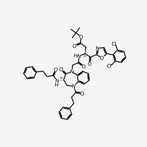 CC(C)(C)OC(=O)C[C@H](NC(=O)CN1C(=O)[C@@H](NC(=O)CCc2ccccc2)CN(C(=O)CCc2ccccc2)c2ccccc21)C(=O)c1ncc(-c2c(Cl)cccc2Cl)o1